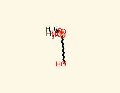 CC(C)OP(=O)(O)OCCCCCCCCCCCCO